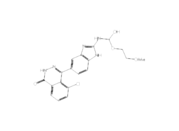 COCCOC(O)Nc1nc2cc(-c3n[nH]c(=O)c4cccc(Cl)c34)ccc2[nH]1